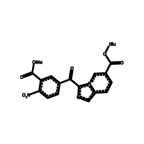 COC(=O)c1cc(C(=O)c2ncc3ccc(C(=O)OC(C)(C)C)cn23)ccc1[N+](=O)[O-]